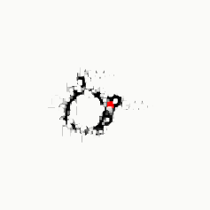 CN[C@H](CC(C)C)C(=O)N[C@H]1COC(=O)[C@H](Cc2ccc(OC)cc2)N(C)C(=O)[C@@H]2CCCN2C(=O)[C@H](CC(C)C)NOC[C@H](C(C)C)OC(=O)C[C@H](O)[C@@H](C(C)C)NC1=O